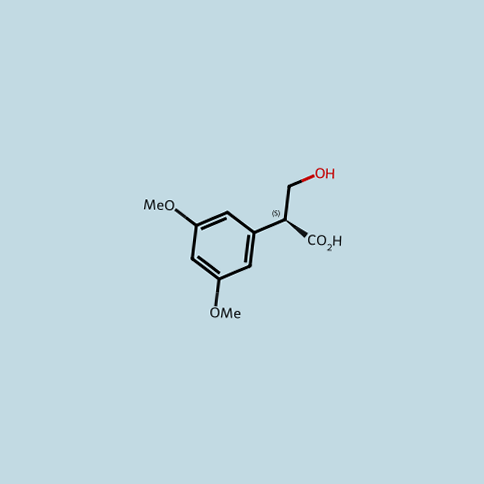 COc1cc(OC)cc([C@@H](CO)C(=O)O)c1